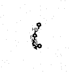 Fc1cc(CCNCc2ccccc2)ccc1-c1nc2ccc(C3(c4ccccc4)C=C3)nc2s1